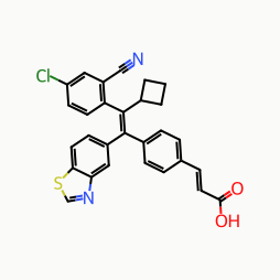 N#Cc1cc(Cl)ccc1C(=C(c1ccc(C=CC(=O)O)cc1)c1ccc2scnc2c1)C1CCC1